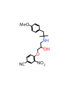 COc1ccc(CC(C)(C)NCC(O)COc2ccc(C#N)cc2[N+](=O)[O-])cc1